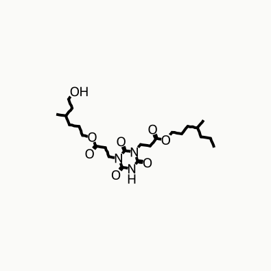 CCCC(C)CCCOC(=O)CCn1c(=O)[nH]c(=O)n(CCC(=O)OCCCC(C)CCO)c1=O